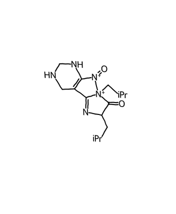 CC(C)CC1N=C2C3=C(NCNC3)[N+](=O)[N+]2(CC(C)C)C1=O